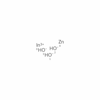 [In+3].[OH-].[OH-].[OH-].[Zn]